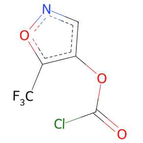 O=C(Cl)Oc1cnoc1C(F)(F)F